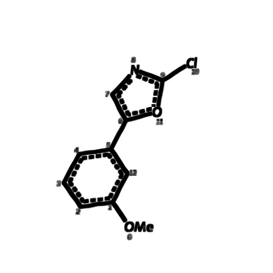 COc1cccc(-c2cnc(Cl)o2)c1